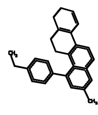 CCc1ccc(-c2cc(C)cc3ccc4c(c23)CCC2=C4C=CCC2)cc1